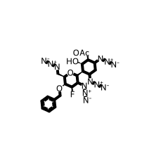 CC(=O)O[C@H]1C(N=[N+]=[N-])CC(N=[N+]=[N-])[C@@H](C2O[C@H](CN=[N+]=[N-])[C@@H](OCc3ccccc3)[C@H](F)C2N=[N+]=[N-])[C@@H]1O